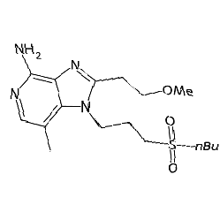 CCCCS(=O)(=O)CCCn1c(CCOC)nc2c(N)ncc(C)c21